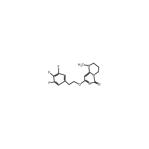 CN1CCCn2c1cc(OCCc1cc(F)c(F)c(F)c1)nc2=O